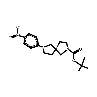 CC(C)(C)OC(=O)N1CC[C@]2(CCN(c3ccc([N+](=O)[O-])cc3)C2)C1